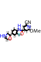 COc1cc(C(=O)Nc2ccc([C@H]3CNCCO3)cc2F)cc(C#N)n1